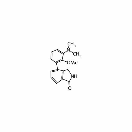 COc1c(-c2cccc3c2CNC3=O)cccc1N(C)C